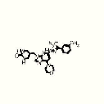 C/C(=N\Nc1cc(N2CCOCC2)c2ncn(CC3CNC(=O)NC3)c2n1)c1cccc(C)c1